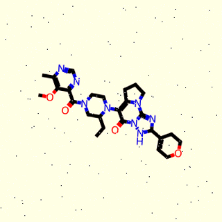 CCC1CN(C(=O)c2ncnc(C)c2OC)CCN1C1=C2CCCN2C2=NC(C3=CCOCC3)NN2C1=O